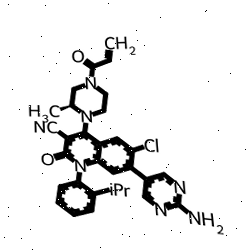 C=CC(=O)N1CCN(c2c(C#N)c(=O)n(-c3ccccc3C(C)C)c3cc(-c4cnc(N)nc4)c(Cl)cc23)[C@@H](C)C1